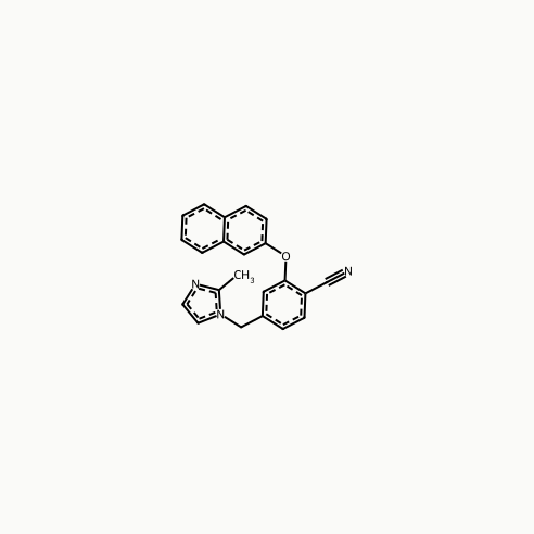 Cc1nccn1Cc1ccc(C#N)c(Oc2ccc3ccccc3c2)c1